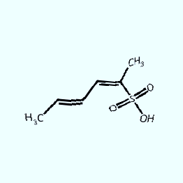 CC=CC=C(C)S(=O)(=O)O